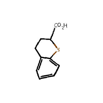 O=C(O)C1CCc2ccccc2S1